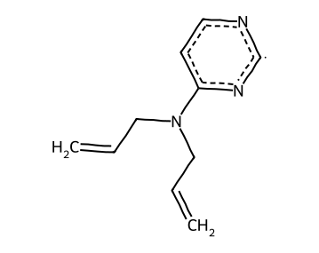 C=CCN(CC=C)c1ccn[c]n1